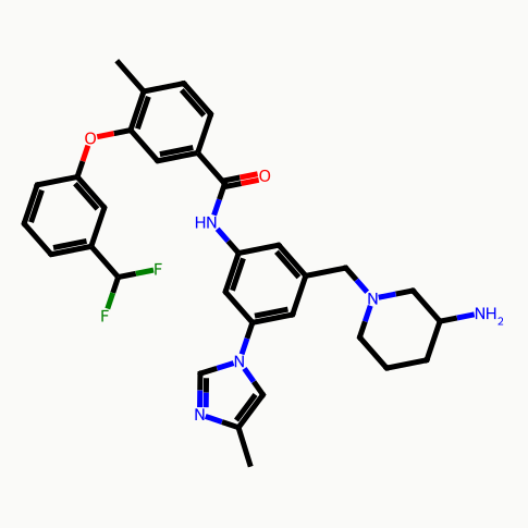 Cc1cn(-c2cc(CN3CCCC(N)C3)cc(NC(=O)c3ccc(C)c(Oc4cccc(C(F)F)c4)c3)c2)cn1